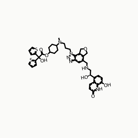 CN(CCCn1nnc2cc(CNC[C@H](O)c3ccc(O)c4[nH]c(=O)ccc34)c3c(c21)COC3)C1CCC(OC(=O)C(O)(c2cccs2)c2cccs2)CC1